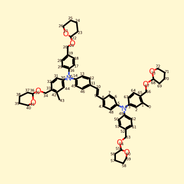 Cc1cc(N(c2ccc(C=Cc3ccc(N(c4ccc(COC5CCCCO5)cc4)c4ccc(COC5CCCCO5)c(C)c4)cc3)cc2)c2ccc(COC3CCCCO3)cc2)ccc1COC1CCCCO1